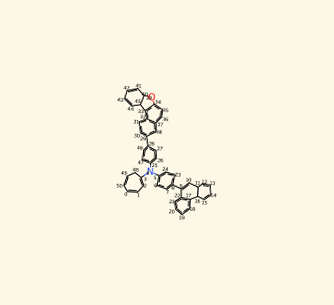 C1=CC=C(N(c2ccc(C3=CC4C=CC=CC4c4ccccc43)cc2)c2ccc(-c3ccc4c5c(ccc4c3)OC3C=CC=CC53)cc2)CC=C1